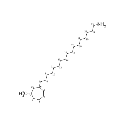 C[C@H]1CCCCC(CCCCCCCCCCCCCCCCCN)C1